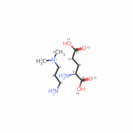 CN(C)CCCN.N[C@@H](CCC(=O)O)C(=O)O